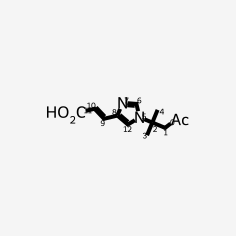 CC(=O)CC(C)(C)n1cnc(/C=C/C(=O)O)c1